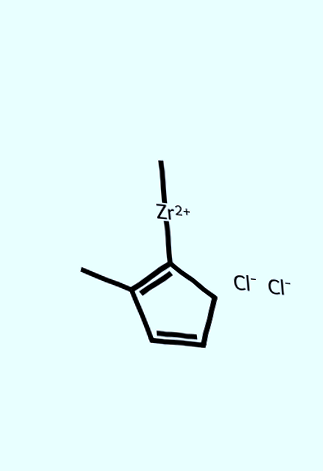 [CH3][Zr+2][C]1=C(C)C=CC1.[Cl-].[Cl-]